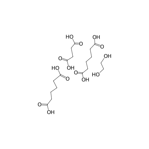 O=C(O)CCC(=O)O.O=C(O)CCCCC(=O)O.O=C(O)CCCCC(=O)O.OCCO